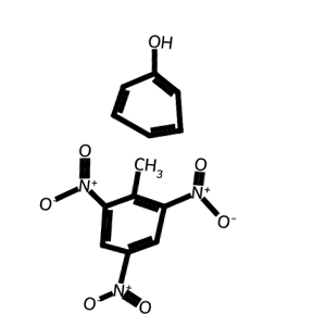 Cc1c([N+](=O)[O-])cc([N+](=O)[O-])cc1[N+](=O)[O-].Oc1ccccc1